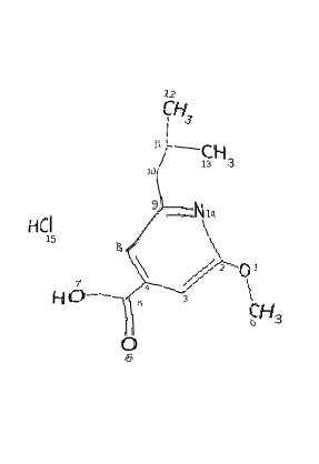 COc1cc(C(=O)O)cc(CC(C)C)n1.Cl